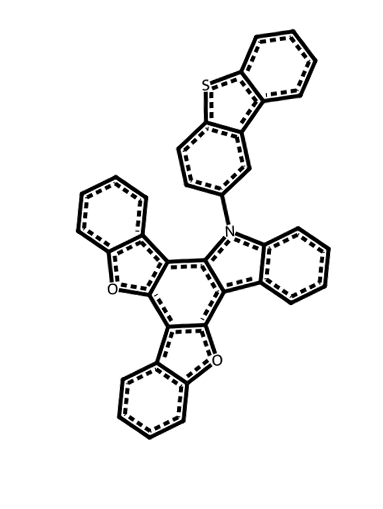 c1ccc2c(c1)oc1c2c2oc3ccccc3c2c2c1c1ccccc1n2-c1ccc2sc3ccccc3c2c1